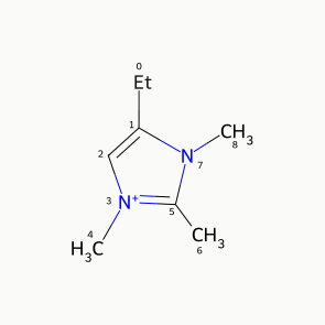 CCc1c[n+](C)c(C)n1C